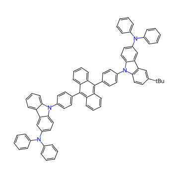 CC(C)(C)c1ccc2c(c1)c1cc(N(c3ccccc3)c3ccccc3)ccc1n2-c1ccc(-c2c3ccccc3c(-c3ccc(-n4c5ccccc5c5cc(N(c6ccccc6)c6ccccc6)ccc54)cc3)c3ccccc23)cc1